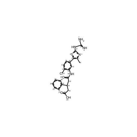 Cc1nc(NC(=N)N)sc1-c1ccc(Cl)c(NC(=O)CC(CC(=O)O)c2ccccc2)c1